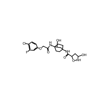 O=C(COc1ccc(Cl)c(F)c1)NC12CCC(NC(=O)C3CC(O)NO3)(CC1)CC2O